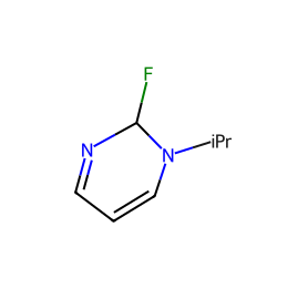 CC(C)N1C=CC=NC1F